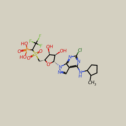 CC1CCCC1Nc1nc(Cl)nc2c1cnn2[C@@H]1O[C@H](CS(=O)(=O)C(C(F)(F)F)P(=O)(O)O)[C@@H](O)[C@H]1O